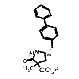 CC1(C(=O)O)C[C@@H](Cc2ccc(-c3ccccc3)cc2)NC1=O